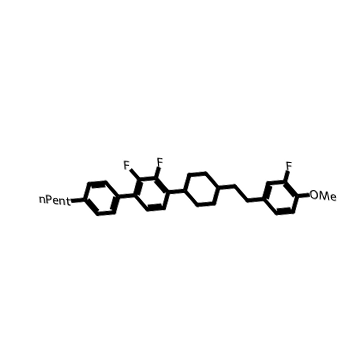 CCCCCc1ccc(-c2ccc(C3CCC(CCc4ccc(OC)c(F)c4)CC3)c(F)c2F)cc1